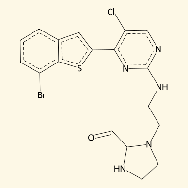 O=CC1NCCN1CCNc1ncc(Cl)c(-c2cc3cccc(Br)c3s2)n1